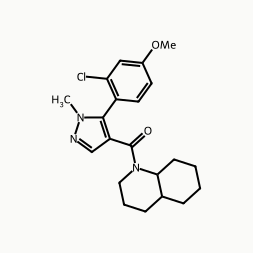 COc1ccc(-c2c(C(=O)N3CCCC4CCCCC43)cnn2C)c(Cl)c1